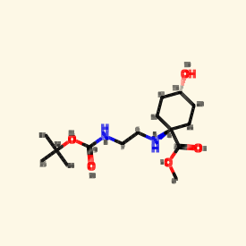 COC(=O)[C@]1(NCCNC(=O)OC(C)(C)C)CC[C@H](O)CC1